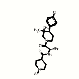 CC(=O)N1CCC(C(=O)N[C@@H](C(=O)N2CCC(c3ccc(Cl)cc3)C(C)(C)C2)C(C)C)CC1